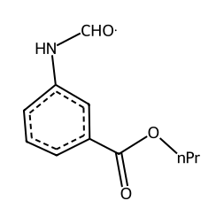 CCCOC(=O)c1cccc(N[C]=O)c1